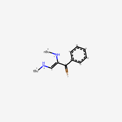 CCCCNC(=CNC(C)(C)C)C(=S)c1ccccc1